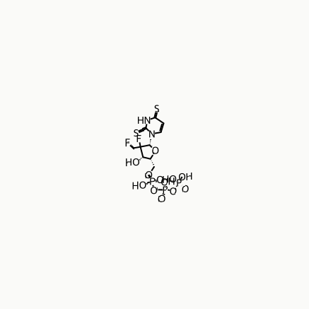 O=P(O)(O)OP(=O)(O)OP(=O)(O)OC[C@H]1O[C@@H](n2ccc(=S)[nH]c2=S)C(F)(CF)[C@H]1O